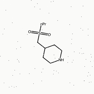 CCCS(=O)(=O)CC1CCNCC1